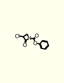 O=C(Oc1ccccc1)N1CC(Cl)C1=O